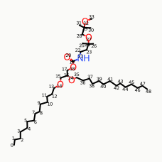 CCCCCCCCCCCCCCOCC(COC(=O)NCCC(C)(C)OCC(C)(C)OC)OCCCCCCCCCCCCCC